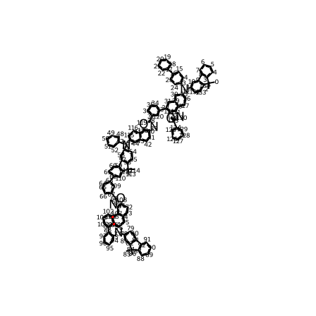 CC1(C)c2ccccc2-c2cc(N(c3ccc(-c4ccccc4)cc3)c3ccc4c(c3)cc(-c3cccc(-c5nc6ccc7cc(N(c8ccccc8)c8ccc9c(c8)-c8ccc(-c%10cccc(-c%11nc%12c(ccc%13cc(N(c%14ccc%15c(c%14)C(C)(C)c%14ccccc%14-%15)c%14ccccc%14-c%14ccccc%14)ccc%13%12)o%11)c%10)cc8C9(C)C)ccc7c6o5)c3)c3oc(-c5ccccc5)nc34)ccc21